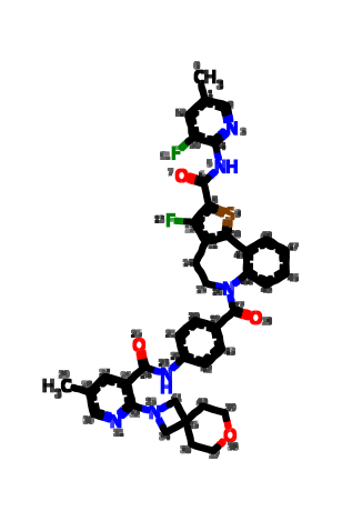 Cc1cnc(NC(=O)c2sc3c(c2F)CCN(C(=O)c2ccc(NC(=O)c4cc(C)cnc4N4CC5(CCOCC5)C4)cc2)c2ccccc2-3)c(F)c1